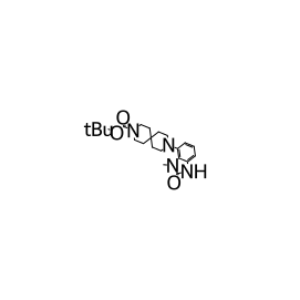 Cn1c(=O)[nH]c2cccc(N3CCC4(CCN(C(=O)OC(C)(C)C)CC4)CC3)c21